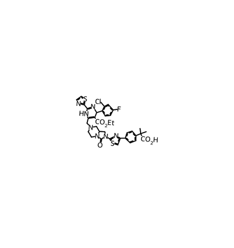 CCOC(=O)C1=C(CN2CCN3C(=O)N(c4nc(-c5ccc(C(C)(C)C(=O)O)cc5)cs4)CC3C2)NC(c2nccs2)=NC1c1ccc(F)cc1Cl